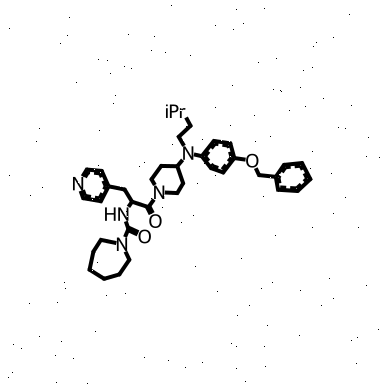 CC(C)CCN(c1ccc(OCc2ccccc2)cc1)C1CCN(C(=O)C(Cc2ccncc2)NC(=O)N2CCCCCC2)CC1